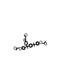 CC(C)(c1ccc(OCC2CO2)cc1)c1ccc(C(C)(C2=CC=C(OCC3CO3)CC2)c2ccc(OCC3CO3)cc2)cc1